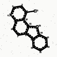 Clc1ccnc2ccc3c4ccccc4oc3c12